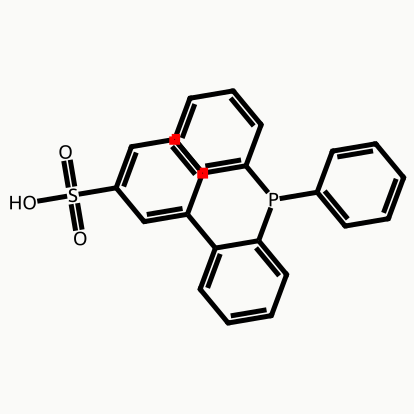 O=S(=O)(O)c1cccc(-c2ccccc2P(c2ccccc2)c2ccccc2)c1